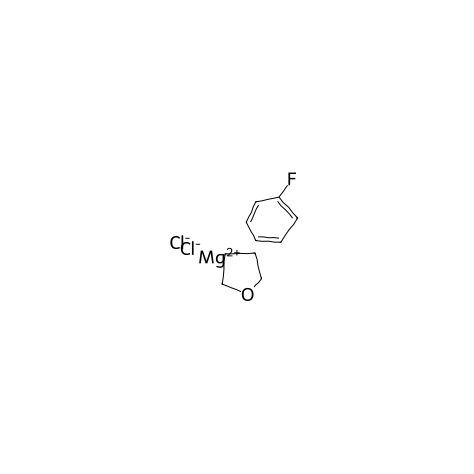 C1CCOC1.Fc1ccccc1.[Cl-].[Cl-].[Mg+2]